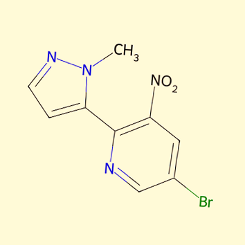 Cn1nccc1-c1ncc(Br)cc1[N+](=O)[O-]